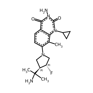 Cc1c(N2C[C@H](F)[C@@H](C(C)(C)N)C2)ccc2c(=O)n(N)c(=O)n(C3CC3)c12